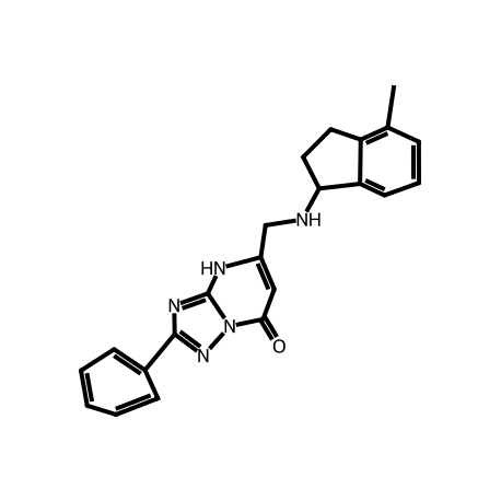 Cc1cccc2c1CCC2NCc1cc(=O)n2nc(-c3ccccc3)nc2[nH]1